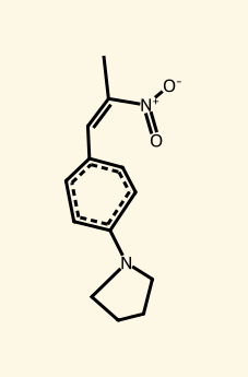 CC(=Cc1ccc(N2CCCC2)cc1)[N+](=O)[O-]